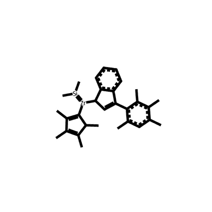 CC1=C(C)C(C)[C]([Zr]([CH]2C=C(c3c(C)cc(C)c(C)c3C)c3ccccc32)=[Si](C)C)=C1C